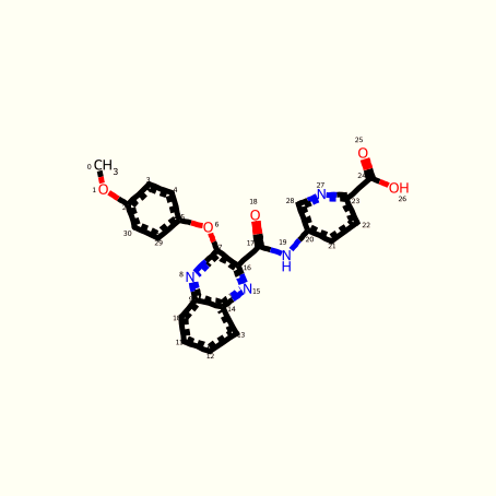 COc1ccc(Oc2nc3ccccc3nc2C(=O)Nc2ccc(C(=O)O)nc2)cc1